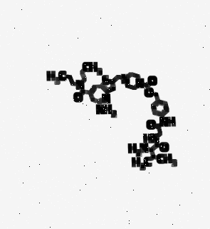 CCCN(CCC)C(=O)C1=Cc2sc(CN3CCN(C(=O)OCc4ccc(NC(=O)CNC(=O)C(N)C(C)C)cc4)CC3)cc2N=C(N)C1